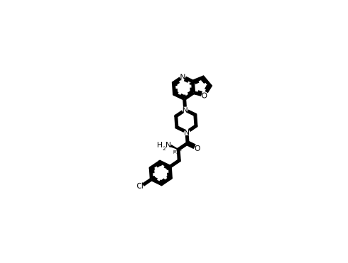 N[C@H](Cc1ccc(Cl)cc1)C(=O)N1CCN(c2ccnc3ccoc23)CC1